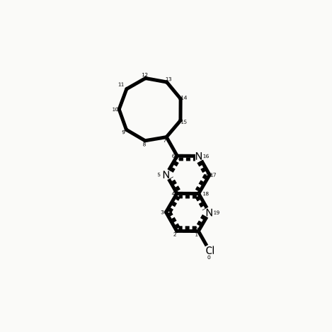 Clc1ccc2nc(C3CCCCCCCC3)ncc2n1